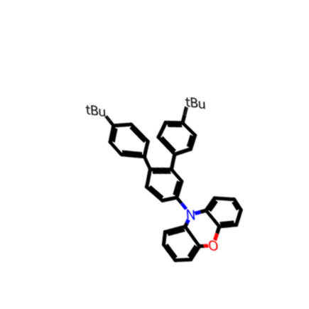 CC(C)(C)c1ccc(-c2ccc(N3c4ccccc4Oc4ccccc43)cc2-c2ccc(C(C)(C)C)cc2)cc1